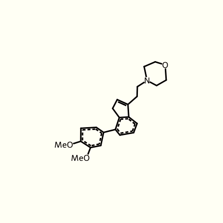 COc1ccc(-c2cccc3c2CC=C3CCN2CCOCC2)cc1OC